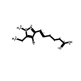 CCc1c(Br)c(/C=C/CCCC(=O)O)nn1C